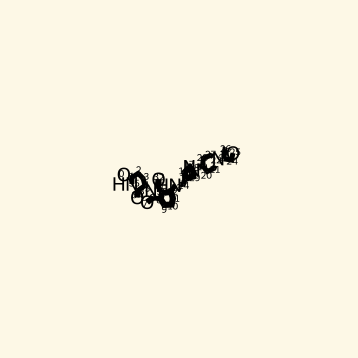 O=C1CCC(N2C(=O)c3cccc(NCc4cnn(C5CCN(C6COC6)CC5)c4)c3C2=O)C(=O)N1